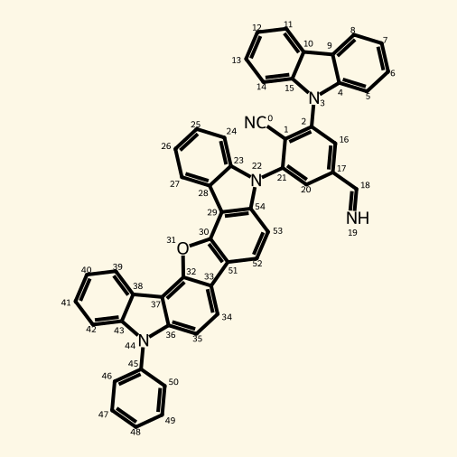 N#Cc1c(-n2c3ccccc3c3ccccc32)cc(C=N)cc1-n1c2ccccc2c2c3oc4c(ccc5c4c4ccccc4n5-c4ccccc4)c3ccc21